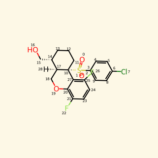 O=S(=O)(c1ccc(Cl)cc1)[C@@]12CCC[C@@H](CO)[C@@H]1COc1c(F)ccc(F)c12